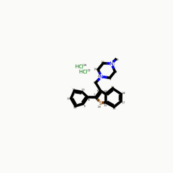 CN1CCN(Cc2c(-c3ccccc3)sc3ccccc23)CC1.Cl.Cl